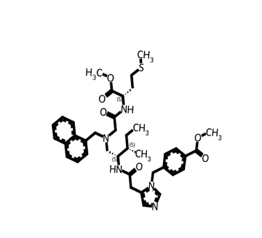 CC[C@H](C)[C@@H](CN(CC(=O)N[C@@H](CCSC)C(=O)OC)Cc1cccc2ccccc12)NC(=O)Cc1cncn1Cc1ccc(C(=O)OC)cc1